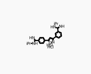 CC(C)NC(=N)c1ccc(-c2cc(-c3cccc(C(=N)NC(C)C)c3)no2)cc1.Cl.Cl